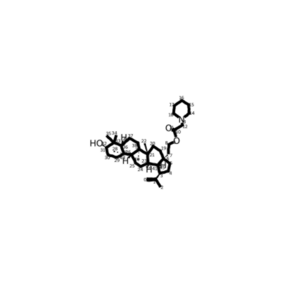 C=C(C)[C@@H]1CC[C@]2(CCOC(=O)CN3CCCCC3)CC[C@]3(C)[C@H](CC[C@@H]4[C@@]5(C)CC[C@H](O)C(C)(C)[C@@H]5CC[C@]43C)[C@@H]12